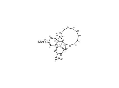 COc1ccc(C2(c3ccc(OC)cc3)C(C)CCCCCCCCCC2(C)C)cc1